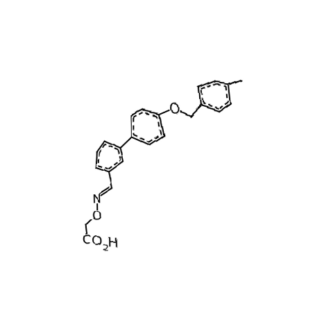 Cc1ccc(COc2ccc(-c3cccc(/C=N/OCC(=O)O)c3)cc2)cc1